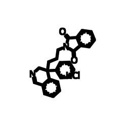 Cl.O=C1c2ccccc2C(=O)N1CCCC1(c2ccccc2)CN=Cc2ccccc21